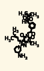 CC(C)=CCn1c(N2CCCC(N)C2)nc2c1c(=O)n(CC(=O)c1cccc(NS(=O)(=O)N(C)C)c1)c(=O)n2C